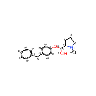 CCN1CCCC1C(O)Oc1ccc(Cc2ccccc2)cc1